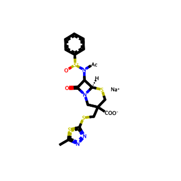 CC(=O)N(C1C(=O)N2CC(CSc3nnc(C)s3)(C(=O)[O-])CS[C@H]12)[S+]([O-])c1ccccc1.[Na+]